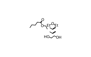 C=CC.C=CC.CCCCC(=O)OCC.CCOCC.OCCO